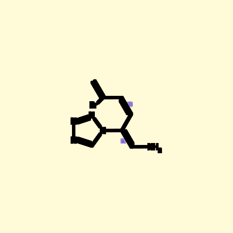 C=C(Br)/C=C\C(=C/N)n1cnnn1